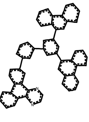 c1cc(-c2cc(-c3cc4ccccc4c4ccccc34)cc(-c3cc4ccccc4c4ccccc34)c2)cc(-c2ccc3c4ccccc4c4nccnc4c3c2)c1